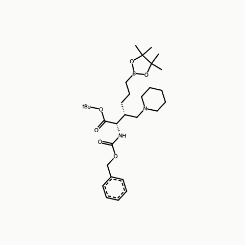 CC(C)(C)OC(=O)[C@@H](NC(=O)OCc1ccccc1)[C@H](CCCB1OC(C)(C)C(C)(C)O1)CN1CCCCC1